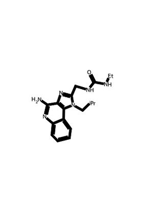 CCNC(=O)NCc1nc2c(N)nc3ccccc3c2n1CC(C)C